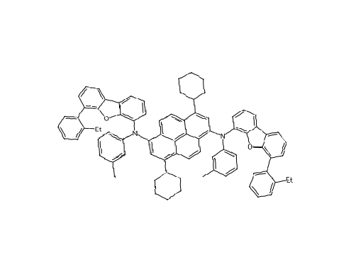 CCc1ccccc1-c1cccc2c1oc1c(N(c3cccc(C)c3)c3cc(C4CCCCC4)c4ccc5c(N(c6cccc(C)c6)c6cccc7c6oc6c(-c8ccccc8CC)cccc67)cc(C6CCCCC6)c6ccc3c4c65)cccc12